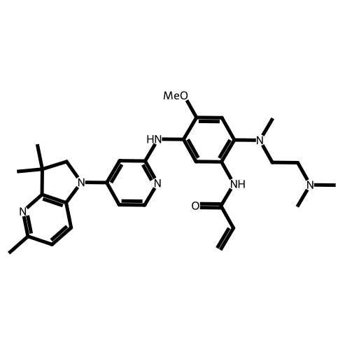 C=CC(=O)Nc1cc(Nc2cc(N3CC(C)(C)c4nc(C)ccc43)ccn2)c(OC)cc1N(C)CCN(C)C